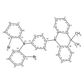 CC1(C)c2ccccc2N(c2ccc(B(c3ccccc3Br)c3ccccc3Br)cc2)c2ccccc21